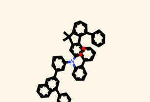 CC1(C)c2cc(N(c3cccc(-c4cc(-c5ccccc5)c5ccccc5c4)c3)c3ccccc3-c3ccccc3)ccc2-c2c(-c3ccccc3)cccc21